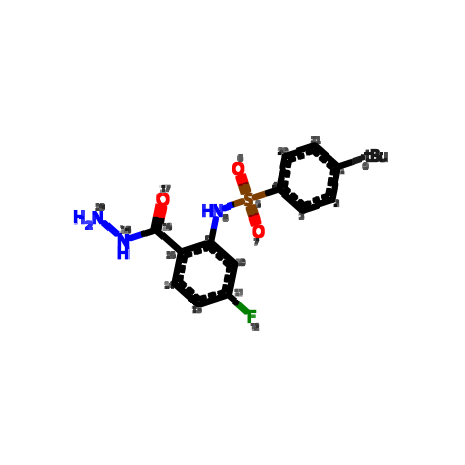 CC(C)(C)c1ccc(S(=O)(=O)Nc2cc(F)ccc2C(=O)NN)cc1